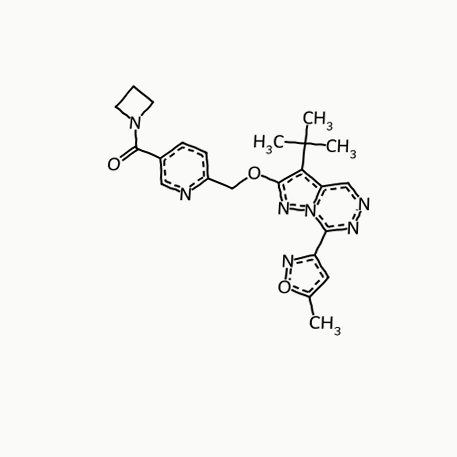 Cc1cc(-c2nncc3c(C(C)(C)C)c(OCc4ccc(C(=O)N5CCC5)cn4)nn23)no1